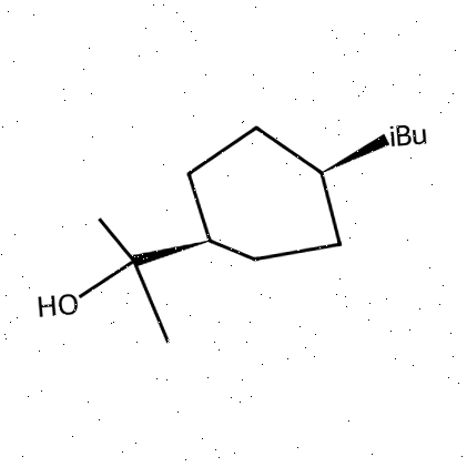 CCC(C)[C@H]1CC[C@@H](C(C)(C)O)CC1